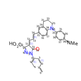 C=C/C=C\C(=C/C)N1N=C(C(=O)O)/C(=C/C=C/c2ccc3c(c2)CCCN3c2ccc(NC)cc2)C1=O